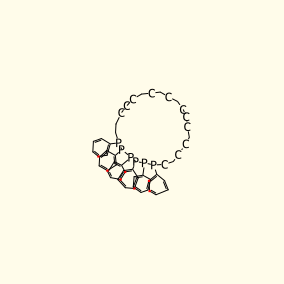 c1ccc(P2CCCCCCCCCCCCCCCCCCP(c3ccccc3)P(c3ccccc3)P(c3ccccc3)P(c3ccccc3)P2c2ccccc2)cc1